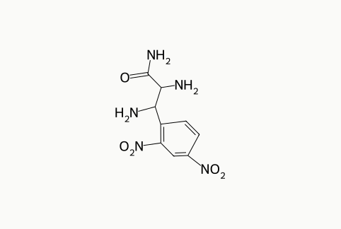 NC(=O)C(N)C(N)c1ccc([N+](=O)[O-])cc1[N+](=O)[O-]